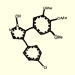 COc1cc(-c2c(-c3ccc(Cl)cc3)cnn2O)cc(OC)c1OC